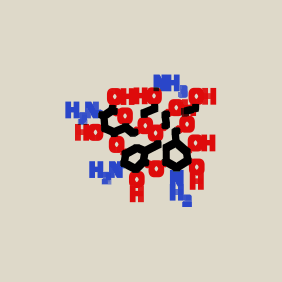 N.NC1C(OC2C(COCCO)CC(OC3C(COCCO)OC(O)C(N)C3O)C(N)C2O)CC(COCCO)C(O)C1O